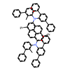 Cc1c(-c2ccccc2)cccc1N(c1cc(-c2ccccc2)ccc1-c1ccccc1)c1cc(C(C)C)c2ccc3c(N(c4cc(-c5ccccc5)ccc4-c4ccccc4)c4cccc(-c5ccccc5)c4C)cc(C(C)C)c4ccc1c2c43